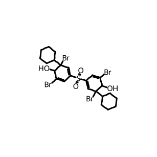 O=S(=O)(C1=CC(Br)(C2CCCCC2)C(O)C(Br)=C1)C1=CC(Br)(C2CCCCC2)C(O)C(Br)=C1